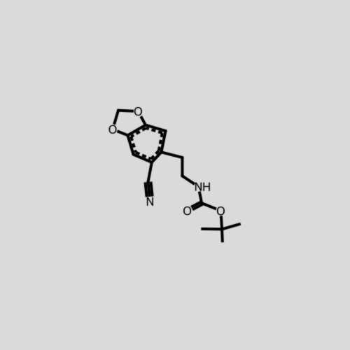 CC(C)(C)OC(=O)NCCc1cc2c(cc1C#N)OCO2